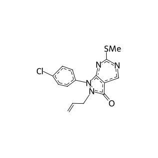 C=CCn1c(=O)c2cnc(SC)nc2n1-c1ccc(Cl)cc1